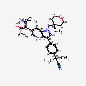 Cc1noc(C)c1-c1cnc2c(-c3ccc(C(C)(C)C#N)cc3)cn(CC3(C)CCOCC3)c2c1